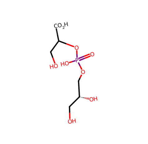 O=C(O)C(CO)OP(=O)(O)OC[C@H](O)CO